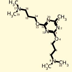 Cc1nc(OCCCN(C)C)nc(OCCCN(C)C)n1